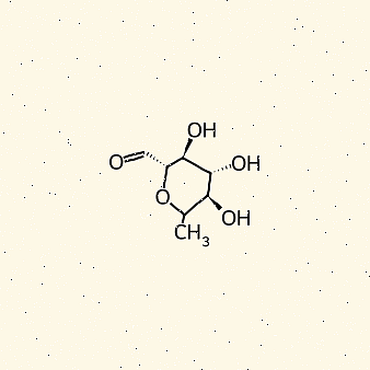 CC1O[C@H](C=O)[C@@H](O)[C@H](O)[C@H]1O